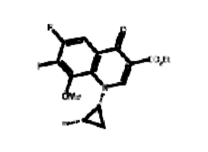 CCOC(=O)c1cn([C@@H]2C[C@@H]2F)c2c(OC)c(I)c(F)cc2c1=O